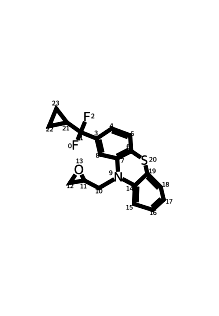 FC(F)(c1ccc2c(c1)N(CC1CO1)c1ccccc1S2)C1CC1